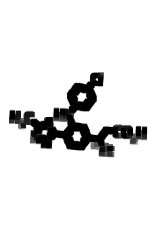 CC[C@H](CC(=O)O)c1ccc(-c2nnc(C)s2)c(Nc2ccc(Cl)cc2)c1